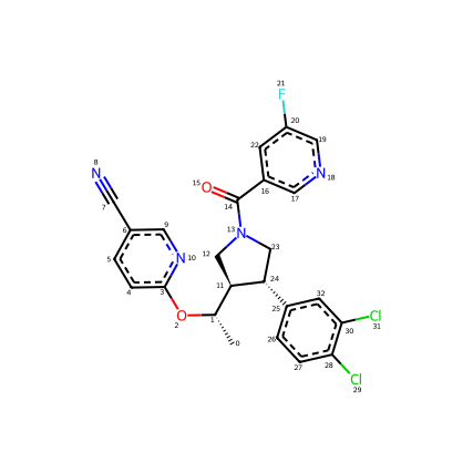 C[C@H](Oc1ccc(C#N)cn1)[C@H]1CN(C(=O)c2cncc(F)c2)C[C@@H]1c1ccc(Cl)c(Cl)c1